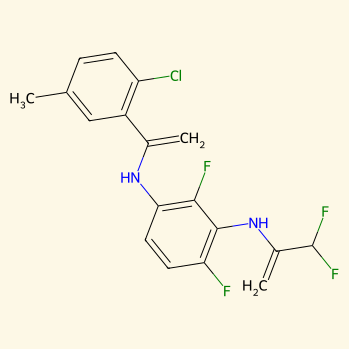 C=C(Nc1ccc(F)c(NC(=C)C(F)F)c1F)c1cc(C)ccc1Cl